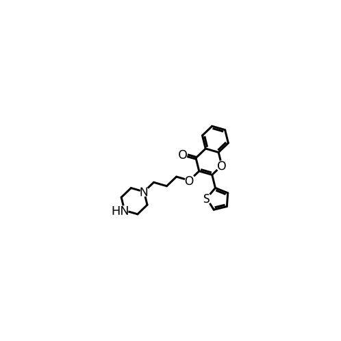 O=c1c(OCCCN2CCNCC2)c(-c2cccs2)oc2ccccc12